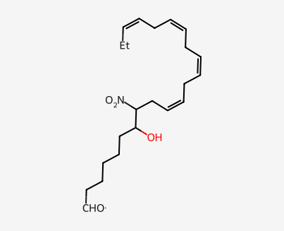 CC/C=C\C/C=C\C/C=C\C/C=C\CC(C(O)CCCCC[C]=O)[N+](=O)[O-]